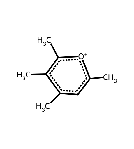 Cc1cc(C)c(C)c(C)[o+]1